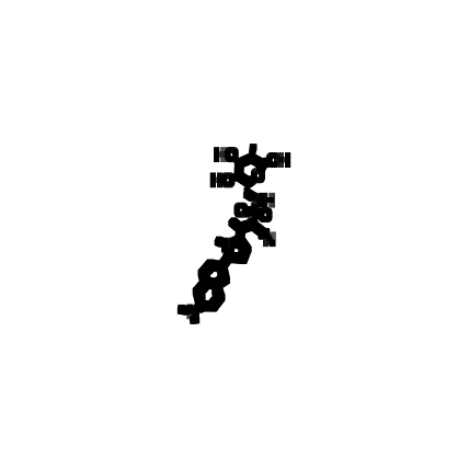 C/C(=C(/C#N)S(=O)(=O)NC[C@H]1OC(O)[C@H](C)[C@@H](O)[C@@H]1O)c1ccc(-c2ccc3cc(N(C)C)ccc3c2)n1C